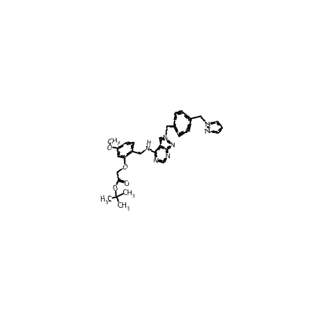 COc1ccc(CNc2ncnc3nn(Cc4ccc(Cn5cccn5)cc4)cc23)c(OCC(=O)OC(C)(C)C)c1